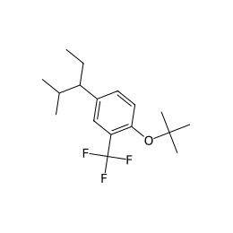 CCC(c1ccc(OC(C)(C)C)c(C(F)(F)F)c1)C(C)C